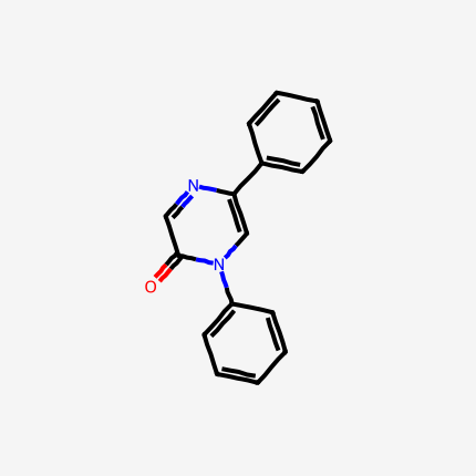 O=c1cnc(-c2ccccc2)cn1-c1ccccc1